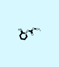 COC(=O)ON1CCCCC1=N